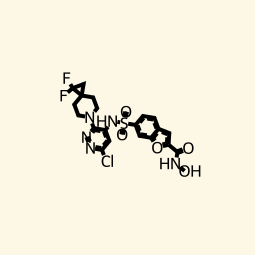 O=C(NO)c1cc2ccc(S(=O)(=O)Nc3cc(Cl)nnc3N3CCC4(CC3)CC4(F)F)cc2o1